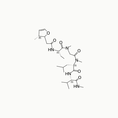 CC[C@H](NC(=O)CC1OC=C[C@H]1C)C(=O)N(C)CC(=O)N(C)[C@@H](CC(C)C)C(=O)N[C@H](C(=O)NC)C(C)C